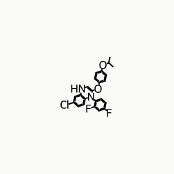 CC(C)Oc1ccc(OC2=CNc3cc(Cl)ccc3N2c2ccc(F)cc2F)cc1